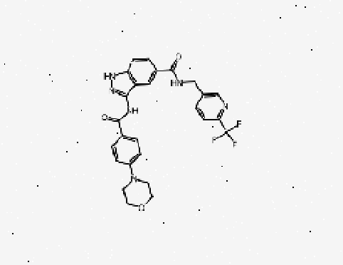 O=C(NCc1ccc(C(F)(F)F)nc1)c1ccc2[nH]nc(NC(=O)c3ccc(N4CCOCC4)cc3)c2c1